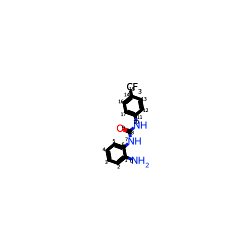 Nc1ccccc1NC(=O)Nc1ccc(C(F)(F)F)cc1